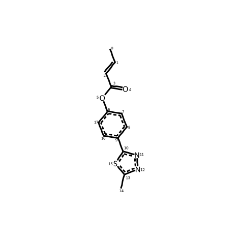 CC=CC(=O)Oc1ccc(-c2nnc(C)s2)cc1